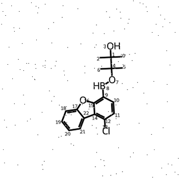 CC(C)(O)C(C)(C)OBc1ccc(Cl)c2c1oc1ccccc12